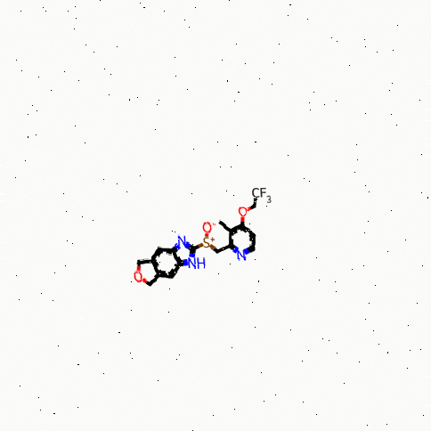 Cc1c(OCC(F)(F)F)ccnc1C[S+]([O-])c1nc2cc3c(cc2[nH]1)COC3